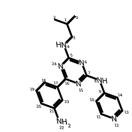 CC(C)CNc1nc(Nc2ccncc2)nc(-c2cccc(N)c2)n1